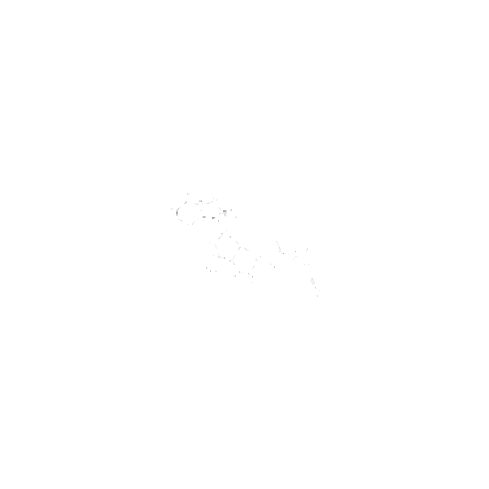 CN(C(=O)[C@H]1CC1C#N)c1cc2cc(-n3c(=O)[nH]c4ccccc43)cc(N)c2cn1